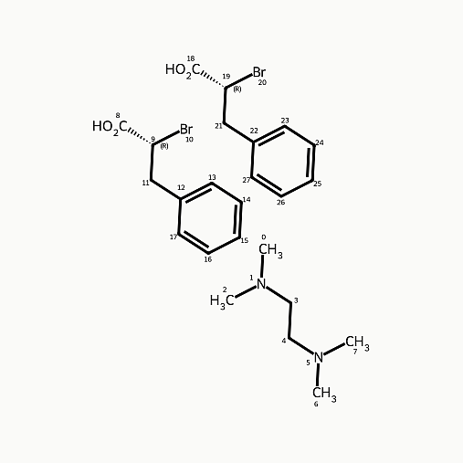 CN(C)CCN(C)C.O=C(O)[C@H](Br)Cc1ccccc1.O=C(O)[C@H](Br)Cc1ccccc1